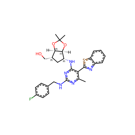 Cc1nc(NCc2ccc(F)cc2)nc(N[C@@H]2C[C@H](CO)[C@H]3OC(C)(C)O[C@H]32)c1-c1nc2ccccc2s1